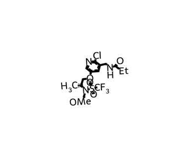 CCC(=O)NCc1cc(OC[C@H](C)N(COC)S(=O)(=O)C(F)(F)F)cnc1Cl